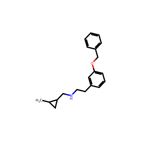 CC1CC1CNCCc1cccc(OCc2ccccc2)c1